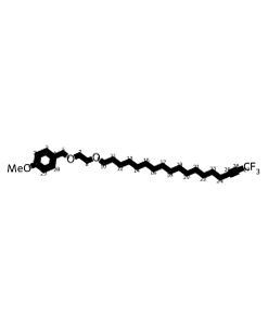 COc1ccc(COCCOCCCCCCCCCCCCCCCC#CC(F)(F)F)cc1